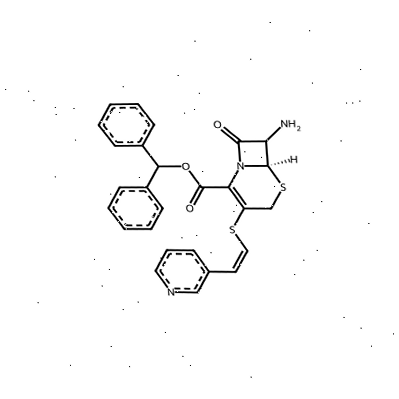 NC1C(=O)N2C(C(=O)OC(c3ccccc3)c3ccccc3)=C(S/C=C\c3cccnc3)CS[C@H]12